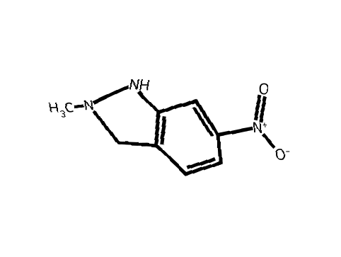 CN1Cc2ccc([N+](=O)[O-])cc2N1